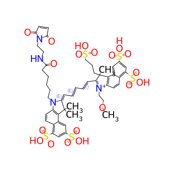 COCC[N+]1=C(/C=C/C=C/C=C2/N(CCCCCC(=O)NCCN3C(=O)C=CC3=O)c3ccc4c(S(=O)(=O)O)cc(S(=O)(=O)O)cc4c3C2(C)C)C(C)(CCCS(=O)(=O)O)c2c1ccc1c(S(=O)(=O)O)cc(S(=O)(=O)O)cc21